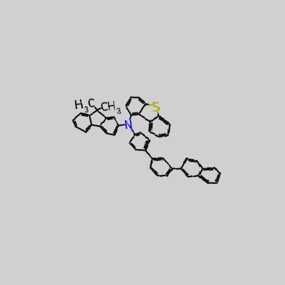 CC1(C)c2ccccc2-c2ccc(N(c3ccc(-c4cccc(-c5ccc6ccccc6c5)c4)cc3)c3cccc4sc5ccccc5c34)cc21